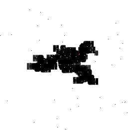 CCc1c2c(nc3ccc(O)cc13)-c1cc3c(c(=O)n1C2)COC(=O)[C@@]3(CC)OC(=O)CSC(C)(C)C(NC(C)=O)C(=O)NC(CCCCNC(=O)CN(CCN(CCN(CC(=O)O)CC(=O)O)CC(=O)O)CC(=O)O)C(=O)NC(Cc1ccc(O)cc1)C(=O)NC(CCCCNC(=O)CN(CCN(CCN(CC(=O)O)CC(=O)O)CC(=O)O)CC(=O)O)C(N)=O